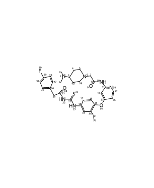 CN(C)C1CCN(CC(=O)Nc2cc(Oc3ccc(NC(=S)NC(=O)Cc4ccc(F)cc4)cc3F)ccn2)CC1